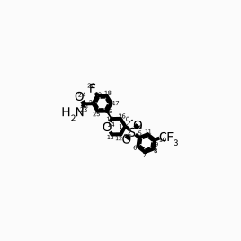 C[C@]1(S(=O)(=O)c2cccc(C(F)(F)F)c2)CCO[C@@H](c2ccc(F)c(C(N)=O)c2)C1